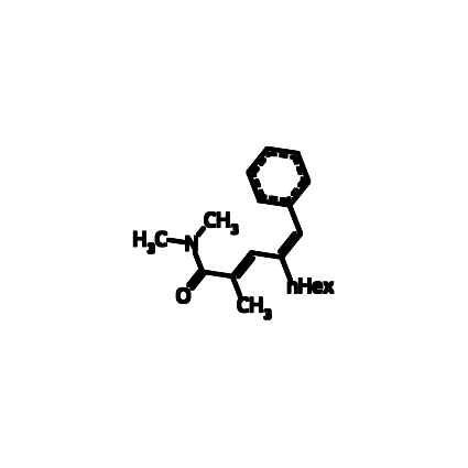 CCCCCCC(=Cc1ccccc1)/C=C(\C)C(=O)N(C)C